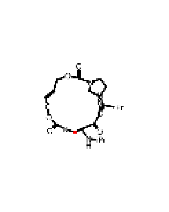 CC(C)NC12CN(C1)C(=O)OC/C=C/COC(=O)N1CC[C@@](C(=O)C(C)C)(C1)NCC2=O